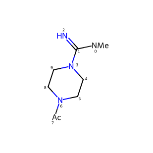 CNC(=N)N1CCN(C(C)=O)CC1